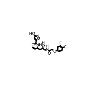 C=CC(CC(O)CNC(=O)COc1ccc(Cl)c(F)c1)NC(=O)c1cc(O)no1